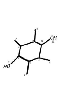 CC1C(C)C(O)C(C)C(C)C1O